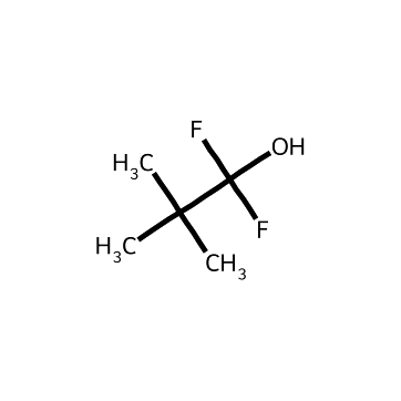 CC(C)(C)C(O)(F)F